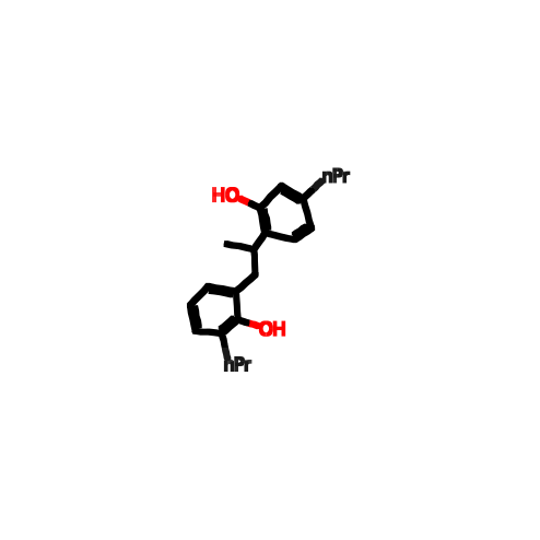 CCCc1ccc(C(C)Cc2cccc(CCC)c2O)c(O)c1